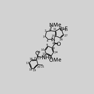 CNC1CCCN(C(=O)c2ccc(NC(=O)c3ccccc3C)c(OC)c2)c2ccc(F)cc21